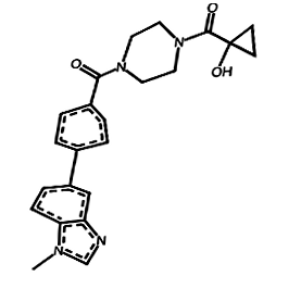 Cn1cnc2cc(-c3ccc(C(=O)N4CCN(C(=O)C5(O)CC5)CC4)cc3)ccc21